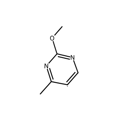 COc1nc[c]c(C)n1